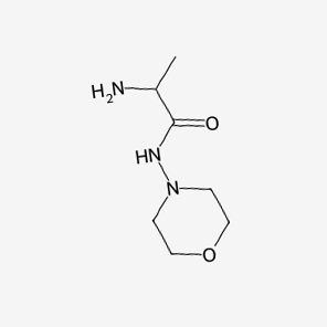 CC(N)C(=O)NN1CCOCC1